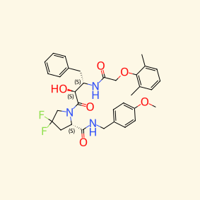 COc1ccc(CNC(=O)[C@@H]2CC(F)(F)CN2C(=O)[C@@H](O)[C@H](Cc2ccccc2)NC(=O)COc2c(C)cccc2C)cc1